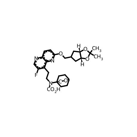 CC1(C)O[C@H]2CC(COc3ccc4ncc(F)c(CCN(C(=O)O)C56CCC(CC5)OC6)c4n3)C[C@H]2O1